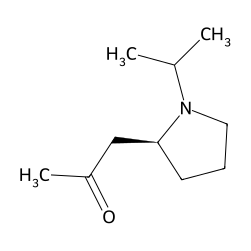 CC(=O)C[C@@H]1CCCN1C(C)C